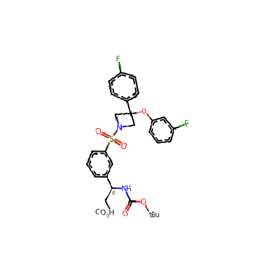 CC(C)(C)OC(=O)N[C@@H](CC(=O)O)c1cccc(S(=O)(=O)N2CC(Oc3cccc(F)c3)(c3ccc(F)cc3)C2)c1